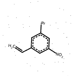 C=Cc1cc(C(C)C)cc([N+](=O)[O-])c1